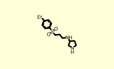 CCc1ccc(S(=O)(=O)CCCNC2CCNC2)cc1